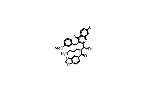 COc1cccc(Cc2c(C(C(C)C)N(CCCN)C(=O)c3ccc4c(c3)OCO4)oc3cc(Cl)ccc3c2=O)c1